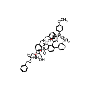 COc1ccc(CN(Cc2ccc(OC)cc2)S(=O)(=O)c2c(S(=O)(=O)NC(CO)CNC(=O)OCc3ccccc3)ccc(-c3ccnc(N)c3)c2-c2nnn(Cc3ccc(OC)cc3)n2)cc1